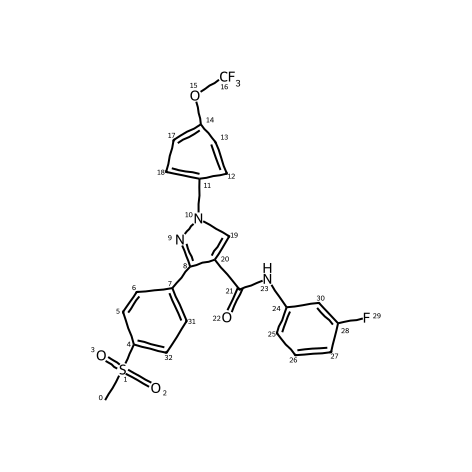 CS(=O)(=O)c1ccc(-c2nn(-c3ccc(OC(F)(F)F)cc3)cc2C(=O)Nc2cccc(F)c2)cc1